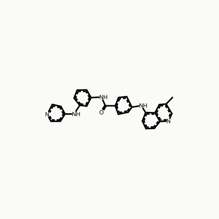 Cc1cnc2cccc(Nc3ccc(C(=O)Nc4cccc(Nc5ccncc5)c4)cc3)c2c1